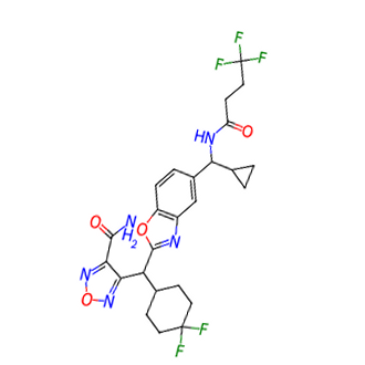 NC(=O)c1nonc1C(c1nc2cc(C(NC(=O)CCC(F)(F)F)C3CC3)ccc2o1)C1CCC(F)(F)CC1